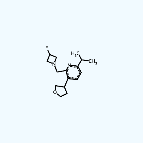 CC(C)c1ccc(C2CCOC2)c(CN2CC(F)C2)n1